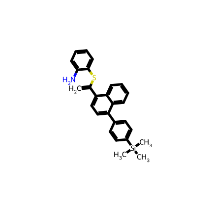 C=C(Sc1ccccc1N)c1ccc(-c2ccc([Si](C)(C)C)cc2)c2ccccc12